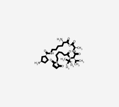 CC(C)[C@@H](C(=O)N[C@@H](C)C(=O)OC(=O)[C@@H](N)CCCCNC(=O)[C@@H]1CC[C@H](N)C1)N(C(=O)CCCCCN1C(=O)C=CC1=O)C(C)(C)C